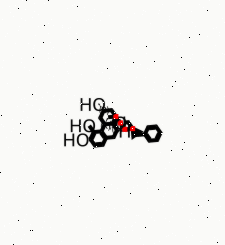 Oc1ccc2c(c1O)[C@]13CCN(CC4CC4)[C@H](C2)[C@]1(OCCCc1ccccc1)CC[C@@H](O)C3